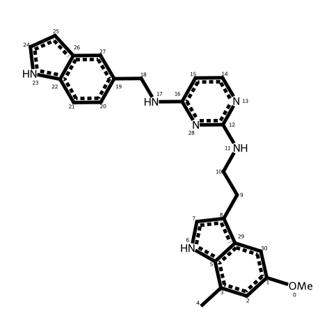 COc1cc(C)c2[nH]cc(CCNc3nccc(NCc4ccc5[nH]ccc5c4)n3)c2c1